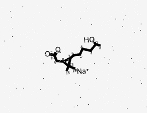 CC(O)CCCCC1C(CC(=O)[O-])C1(C)C.[Na+]